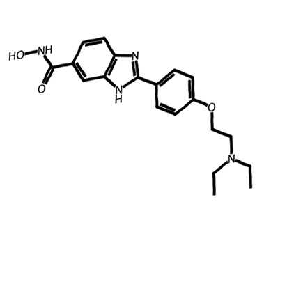 CCN(CC)CCOc1ccc(-c2nc3ccc(C(=O)NO)cc3[nH]2)cc1